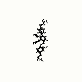 CCCc1ccc(CCc2ccc(C34CCC(CCC)(CC3)CC4)c(C#N)c2C#N)c(Br)c1